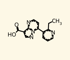 CCc1ncccc1-c1ccnc2c(C(=O)O)cnn12